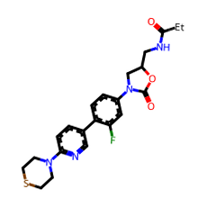 CCC(=O)NCC1CN(c2ccc(-c3ccc(N4CCSCC4)nc3)c(F)c2)C(=O)O1